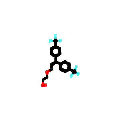 OCCOCC=C(c1ccc(C(F)(F)F)cc1)c1ccc(C(F)(F)F)cc1